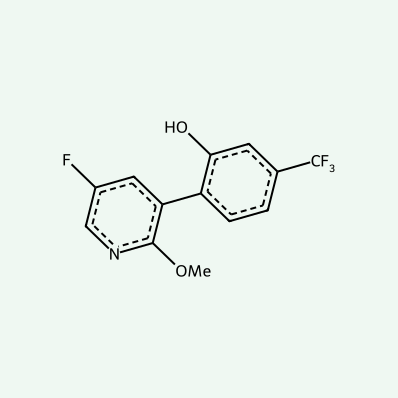 COc1ncc(F)cc1-c1ccc(C(F)(F)F)cc1O